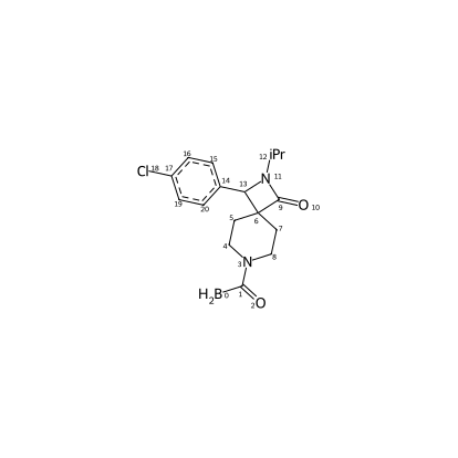 BC(=O)N1CCC2(CC1)C(=O)N(C(C)C)C2c1ccc(Cl)cc1